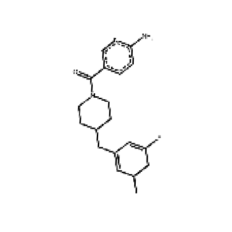 CC1C=C(CC2CCN(C(=O)c3ccc(N)nc3)CC2)C=C(F)C1